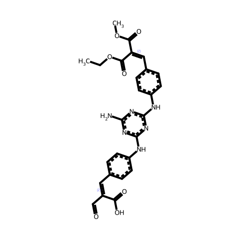 CCOC(=O)/C(=C\c1ccc(Nc2nc(N)nc(Nc3ccc(/C=C(/C=O)C(=O)O)cc3)n2)cc1)C(=O)OC